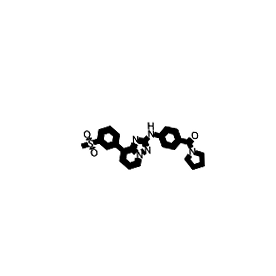 CS(=O)(=O)c1cccc(-c2cccn3nc(Nc4ccc(C(=O)N5CCCC5)cc4)nc23)c1